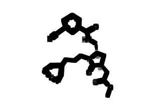 COC(=O)C[C@@H]1C[C@@H](CNC(=O)c2cccc(C#N)c2)N(CCCc2ccccc2)C1=O